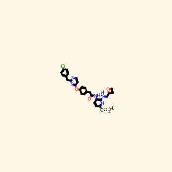 O=C(Cc1ccc(Oc2ccnc(Cc3ccc(Cl)cc3)n2)cc1)Nc1ccc(C(=O)O)nc1NCC1CCO1